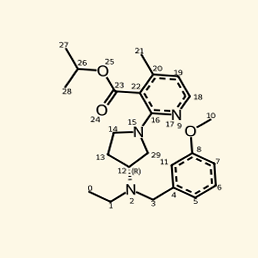 CCN(Cc1cccc(OC)c1)[C@@H]1CCN(c2nccc(C)c2C(=O)OC(C)C)C1